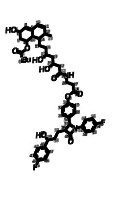 CCC(C)C(=O)OC1CC(O)C=C2C=CC(C)C(CCC(O)CC(O)CC(=O)NCCC(=O)Oc3ccc(C4C(CCC(O)c5ccc(F)cc5)C(=O)N4c4ccc(F)cc4)cc3)C21